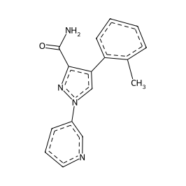 Cc1ccccc1-c1cn(-c2cccnc2)nc1C(N)=O